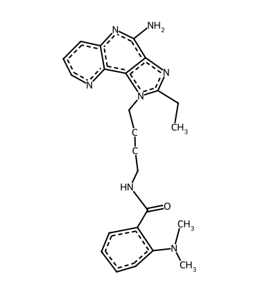 CCc1nc2c(N)nc3cccnc3c2n1CCCCNC(=O)c1ccccc1N(C)C